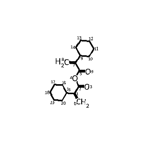 C=C(C(=O)OC(=O)C(=C)C1CCCCC1)C1CCCCC1